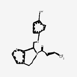 O=C(/C=C/C(F)(F)F)N1CCc2ccsc2C1COc1ccc(O)cc1